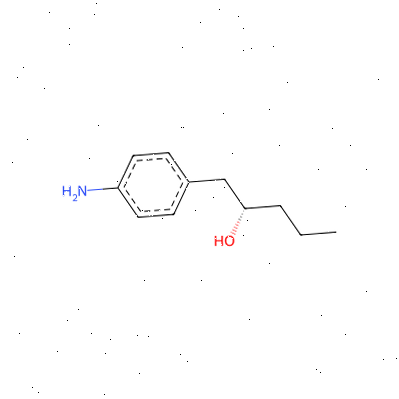 CCC[C@H](O)Cc1ccc(N)cc1